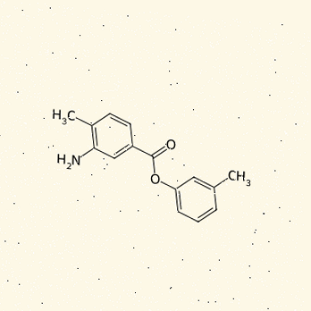 Cc1cccc(OC(=O)c2ccc(C)c(N)c2)c1